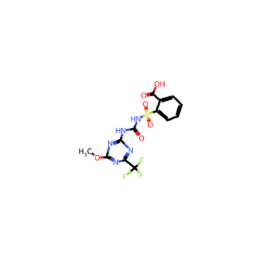 COc1nc(NC(=O)NS(=O)(=O)c2ccccc2C(=O)O)nc(C(F)(F)F)n1